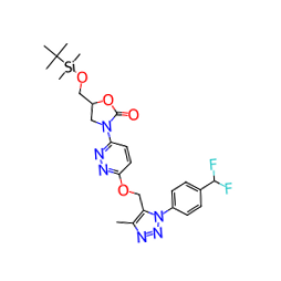 Cc1nnn(-c2ccc(C(F)F)cc2)c1COc1ccc(N2CC(CO[Si](C)(C)C(C)(C)C)OC2=O)nn1